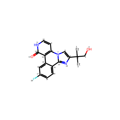 CCC(CC)(CO)c1cn2c3cc[nH]c(=O)c3c3cc(F)ccc3c2n1